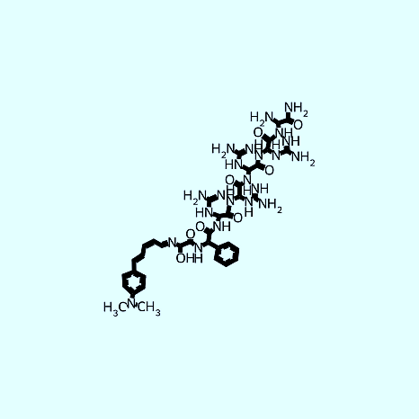 CN(C)c1ccc(/C=C/C=C\C=N\C(O)C(=O)NC(C(=O)NC(NC(=N)N)C(=O)NC(NC(=N)N)C(=O)NC(NC(=N)N)C(=O)NC(NC(=N)N)C(=O)NC(N)C(N)=O)c2ccccc2)cc1